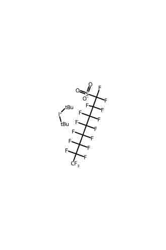 CC(C)(C)[I+]C(C)(C)C.O=S(=O)([O-])C(F)(F)C(F)(F)C(F)(F)C(F)(F)C(F)(F)C(F)(F)C(F)(F)C(F)(F)F